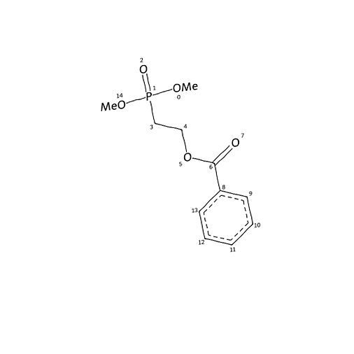 COP(=O)(CCOC(=O)c1ccccc1)OC